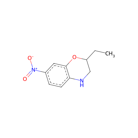 CCC1CNc2ccc([N+](=O)[O-])cc2O1